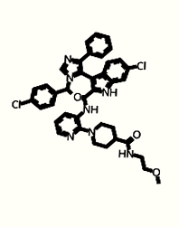 COCCNC(=O)C1CCN(c2ncccc2NC(=O)c2[nH]c3cc(Cl)ccc3c2-c2c(-c3ccccc3)ncn2C(C)c2ccc(Cl)cc2)CC1